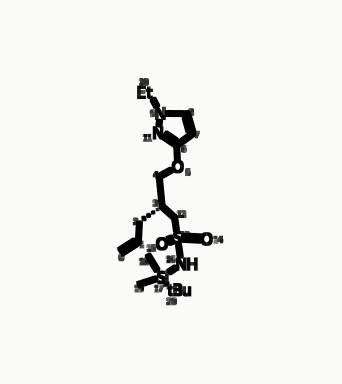 C=CC[C@H](COc1ccn(CC)n1)CS(=O)(=O)N[Si](C)(C)C(C)(C)C